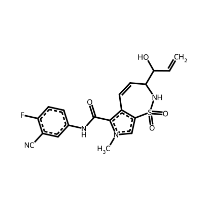 C=CC(O)C1C=Cc2c(cn(C)c2C(=O)Nc2ccc(F)c(C#N)c2)S(=O)(=O)N1